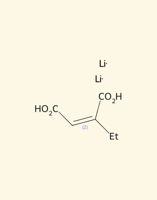 CC/C(=C/C(=O)O)C(=O)O.[Li].[Li]